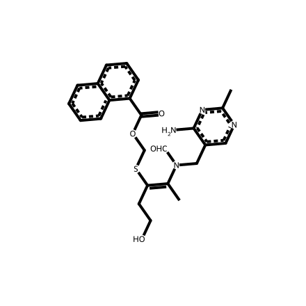 CC(=C(CCO)SCOC(=O)c1cccc2ccccc12)N(C=O)Cc1cnc(C)nc1N